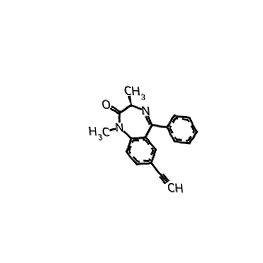 C#Cc1ccc2c(c1)C(c1ccccc1)=N[C@H](C)C(=O)N2C